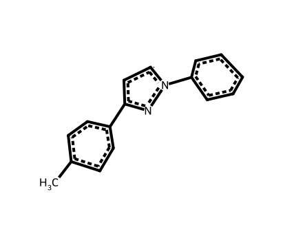 Cc1ccc(-c2c[c]n(-c3ccccc3)n2)cc1